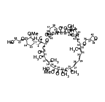 CO[C@@H]1C[C@H](CC(C)[C@@H]2CC(=O)[C@H](C)/C=C(\C)[C@@H](O)[C@@H](OC)C(=O)[C@H](C)C[C@H](C)/C=C/C=C/C=C(\C)[C@@H](OCC3COC3)C[C@@H]3CC[C@@H](C)[C@@](O)(O3)C(=O)C(=O)N3CCCC[C@H]3C(=O)O2)CC[C@H]1OCCO